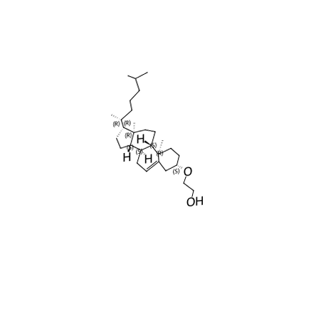 CC(C)CCC[C@@H](C)[C@H]1CC[C@H]2[C@@H]3CC=C4C[C@@H](OCCO)CC[C@]4(C)[C@H]3CC[C@]12C